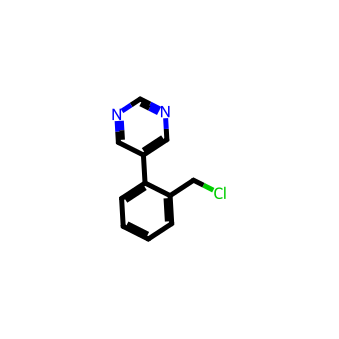 ClCc1ccccc1-c1cncnc1